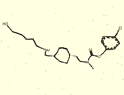 CN(CC[C@H]1CC[C@H](CNCCCCCO)CC1)C(=O)Oc1ccc(Cl)cc1